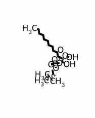 CCCCCCCCCC(=O)C(OP(=O)([O-])OCC[N+](C)(C)C)[C@H](CO)OO